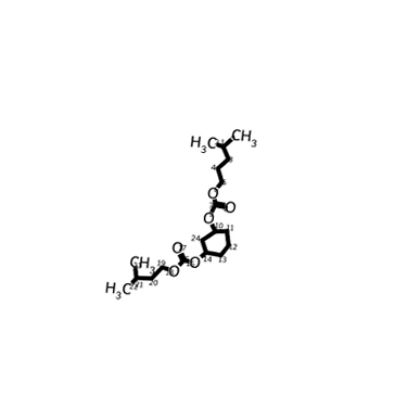 CC(C)CCCOC(=O)OC1CCCC(OC(=O)OCCC(C)C)C1